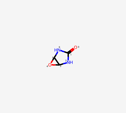 O=C1NC2OC2N1